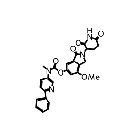 COc1cc(OC(=O)N(C)c2ccc(-c3ccccc3)nc2)cc2c1CN(C1CCC(=O)NC1=O)C2=O